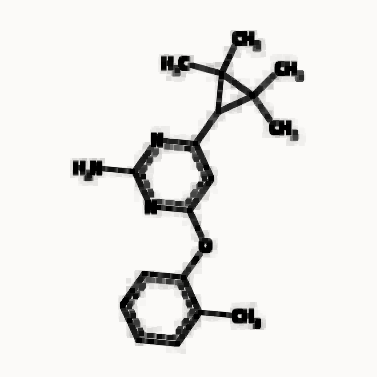 Cc1ccccc1Oc1cc(C2C(C)(C)C2(C)C)nc(N)n1